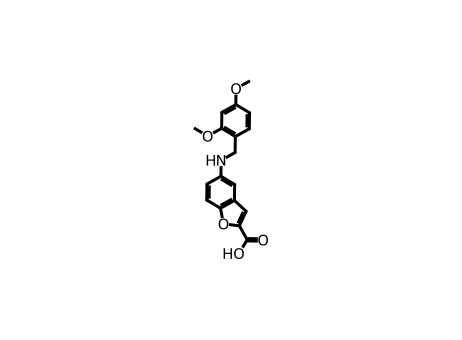 COc1ccc(CNc2ccc3oc(C(=O)O)cc3c2)c(OC)c1